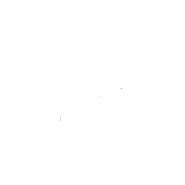 CC1C(=O)CC1(C)C=C(Br)Br